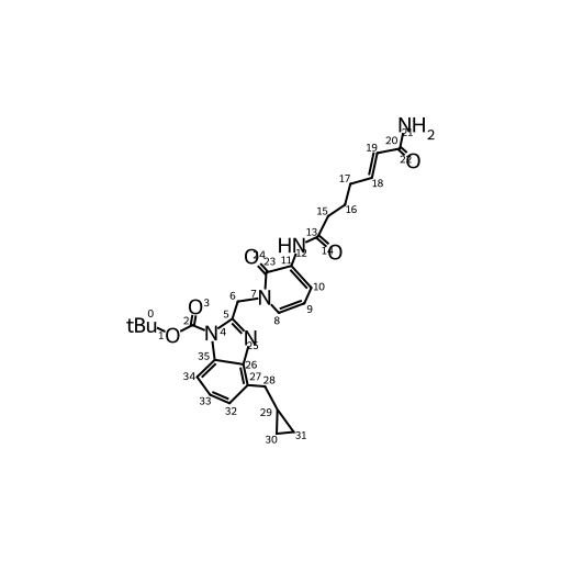 CC(C)(C)OC(=O)n1c(Cn2cccc(NC(=O)CCC/C=C/C(N)=O)c2=O)nc2c(CC3CC3)cccc21